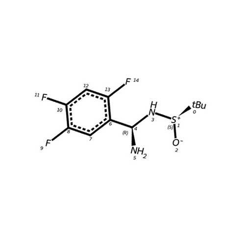 CC(C)(C)[S@@+]([O-])N[C@@H](N)c1cc(F)c(F)cc1F